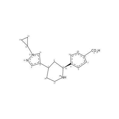 O=C(O)c1ccc([C@@H]2CC(c3cnn(C4CC4)c3)CCN2)cc1